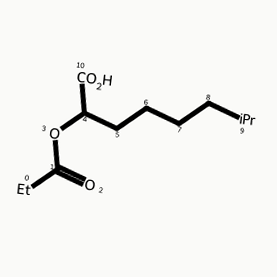 CCC(=O)OC(CCCCC(C)C)C(=O)O